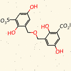 O=C(O)c1cc(O)cc(COCc2cc(O)cc(S(=O)(=O)O)c2O)c1O